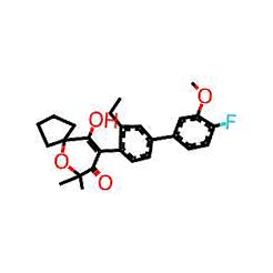 CCc1cc(-c2ccc(F)c(OC)c2)ccc1C1=C(O)C2(CCCC2)OC(C)(C)C1=O